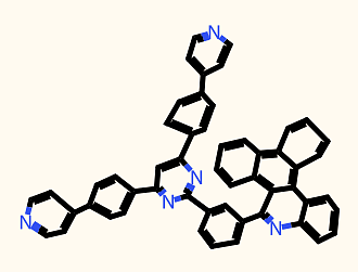 c1cc(-c2nc(-c3ccc(-c4ccncc4)cc3)cc(-c3ccc(-c4ccncc4)cc3)n2)cc(-c2nc3ccccc3c3c4ccccc4c4ccccc4c23)c1